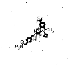 CC(c1ccc(C(F)(F)F)cc1)N(c1ncnc(NCc2ccc(CC(N)=O)cc2)c1F)C1CCC1